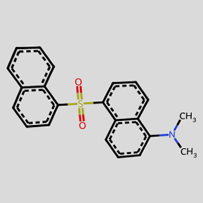 CN(C)c1cccc2c(S(=O)(=O)c3cccc4ccccc34)cccc12